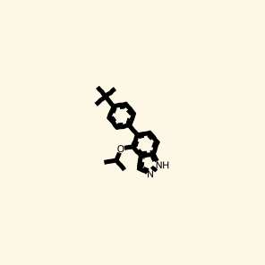 CC(C)Oc1c(-c2ccc(C(C)(C)C)cc2)ccc2[nH]ncc12